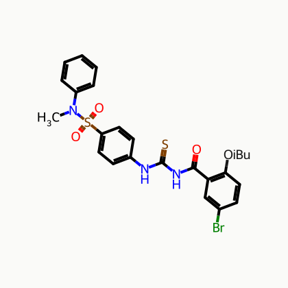 CC(C)COc1ccc(Br)cc1C(=O)NC(=S)Nc1ccc(S(=O)(=O)N(C)c2ccccc2)cc1